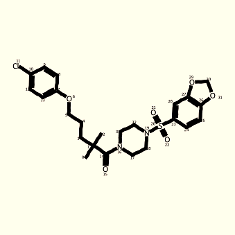 CC(C)(CCCOc1ccc(Cl)cc1)C(=O)N1CCN(S(=O)(=O)c2ccc3c(c2)OCO3)CC1